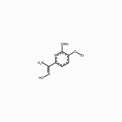 CCOc1ccc(/C(N)=N/O)nc1OC